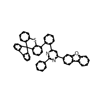 c1ccc(-c2nc(-c3ccc4c(c3)oc3ccccc34)cc(-c3ccccc3-c3cccc4c3Sc3ccccc3C43c4ccccc4-c4ccccc43)n2)cc1